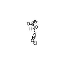 CCCn1c(-c2ccccc2)cc(C(=O)NCCCN2CCN(c3cccc(Cl)c3C)CC2)c1C